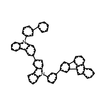 c1ccc(-c2cccc(-n3c4ccccc4c4cc(-c5ccc6c(c5)c5ccccc5n6-c5cccc(-c6ccc7c(c6)-c6cc8ccccc8c8cccc-7c68)c5)ccc43)c2)cc1